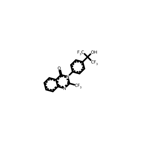 O=c1c2ccccc2nc(C(F)(F)F)n1-c1ccc(C(O)(C(F)(F)F)C(F)(F)F)cc1